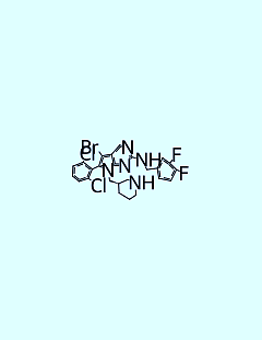 Fc1ccc(CNc2ncc3c(Br)c(-c4c(Cl)cccc4Cl)n(C[C@@H]4CCCNC4)c3n2)cc1F